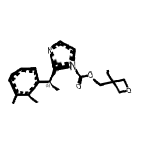 Cc1cccc([C@H](C)c2nccn2C(=O)OCC2(C)COC2)c1C